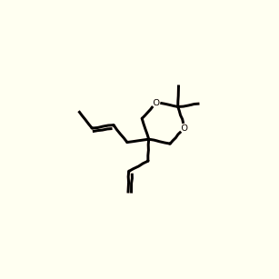 C=CCC1(C/C=C/C)COC(C)(C)OC1